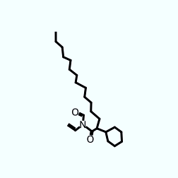 C=CN(C=O)C(=O)C(CCCCCCCCCCCCC)C1CCCCC1